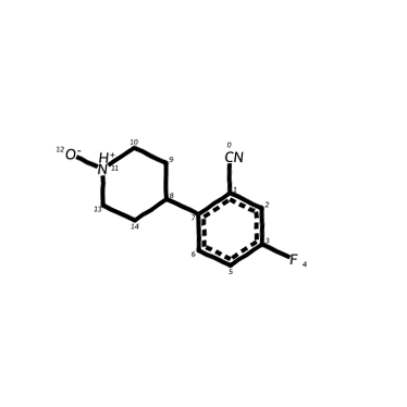 N#Cc1cc(F)ccc1C1CC[NH+]([O-])CC1